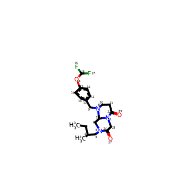 CCC(C)CN1CC2N(Cc3ccc(OC(F)F)cc3)CCC(=O)N2CC1=O